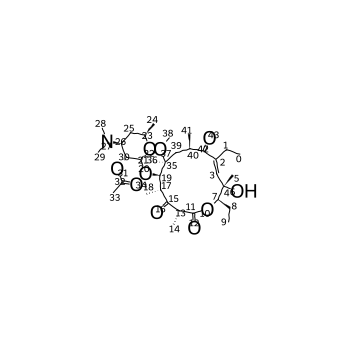 CC/C1=C\[C@](C)(O)[C@@H](CC)OC(=O)[C@H](C)C(=O)[C@H](C)[C@@H](OC2O[C@H](C)C[C@H](N(C)C)[C@H]2OC(C)=O)[C@@](C)(OC)C[C@@H](C)C1=O